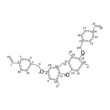 C=Cc1ccc(COc2cc(C)c(Oc3cc(C)c(OCc4ccc(C=C)cc4)c(C)c3)c(C)c2)cc1